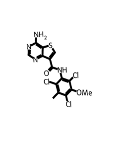 COc1c(Cl)c(C)c(Cl)c(NC(=O)c2csc3c(N)ncnc23)c1Cl